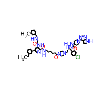 CCc1cccc(-c2cnc(C(=O)NCCCCCC(=O)N3CCN(CC[C@H](NC(=O)C4(N)CCN(c5ncnc6[nH]ccc56)CC4)c4ccc(Cl)cc4)CC3)c(NC(=O)CNCc3cccc(C)c3)c2)c1